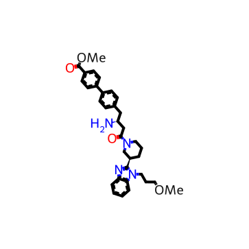 COCCCn1c([C@@H]2CCCN(C(=O)C[C@H](N)Cc3ccc(-c4ccc(C(=O)OC)cc4)cc3)C2)nc2ccccc21